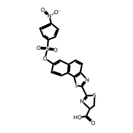 O=C(O)C1CSC(c2nc3ccc4cc(OS(=O)(=O)c5ccc([N+](=O)[O-])cc5)ccc4c3s2)=N1